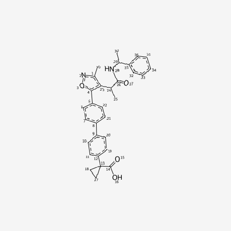 Cc1noc(-c2ccc(-c3ccc(C4(C(=O)O)CC4)cc3)cc2)c1C(C)C(=O)NC(C)c1ccccc1